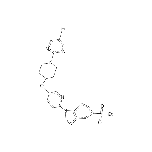 CCc1cnc(N2CCC(Oc3ccc(-n4ccc5cc(S(=O)(=O)CC)ccc54)nc3)CC2)nc1